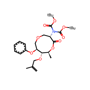 C=C(C)CO[C@H]1[C@H](C)OC(=O)[C@@H](N(C(=O)OC(C)(C)C)C(=O)OC(C)(C)C)COC[C@@H]1Oc1ccccc1